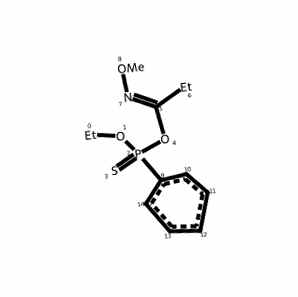 CCOP(=S)(OC(CC)=NOC)c1ccccc1